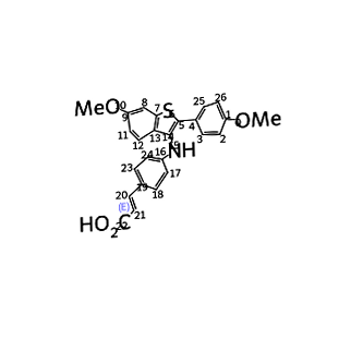 COc1ccc(-c2sc3cc(OC)ccc3c2Nc2ccc(/C=C/C(=O)O)cc2)cc1